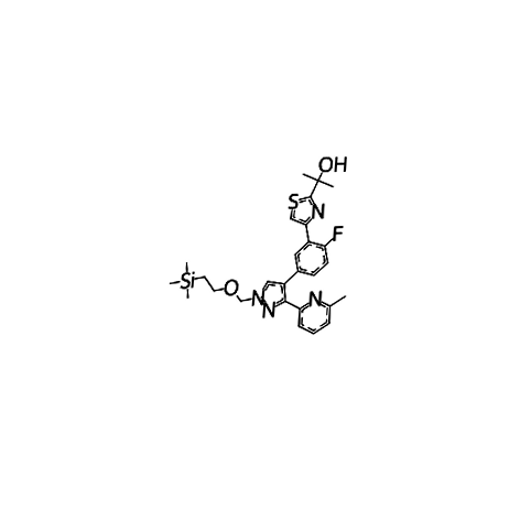 Cc1cccc(-c2nn(COCC[Si](C)(C)C)cc2-c2ccc(F)c(-c3csc(C(C)(C)O)n3)c2)n1